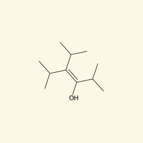 CC(C)C(O)=C(C(C)C)C(C)C